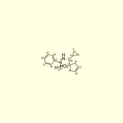 C[C@@H](N[C@H](C1CC1)C1(O)CC=CC1)c1ccccc1